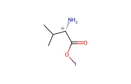 CC(C)[C@H](N)C(=O)OI